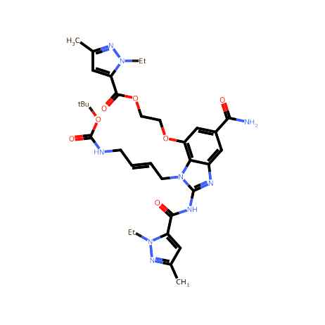 CCn1nc(C)cc1C(=O)Nc1nc2cc(C(N)=O)cc(OCCOC(=O)c3cc(C)nn3CC)c2n1CC=CCNC(=O)OC(C)(C)C